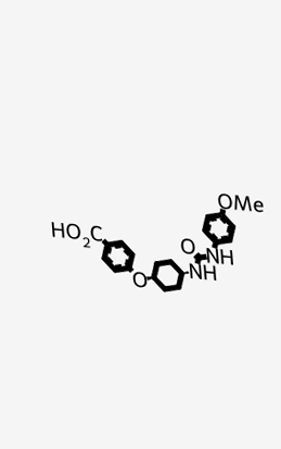 COc1ccc(NC(=O)N[C@H]2CC[C@H](Oc3ccc(C(=O)O)cc3)CC2)cc1